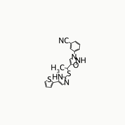 CC(Sc1ncc(-c2cccs2)[nH]1)C1=CN(c2cccc(C#N)c2)NO1